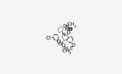 CCOC(=O)[C@@H]1c2cc(OC)ccc2C(=O)N([C@H]2CCCC[C@@H]2NS(C)(=O)=O)[C@H]1c1ccc(Cl)cc1Cl